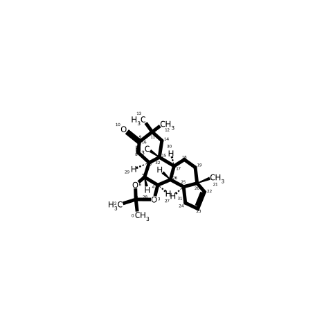 CC1(C)O[C@H]2[C@H](O1)[C@H]1CC(=O)C(C)(C)C[C@]1(C)[C@H]1CC[C@]3(C)C=CC[C@H]3[C@H]21